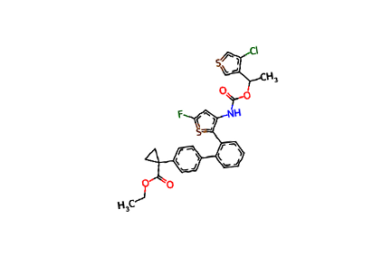 CCOC(=O)C1(c2ccc(-c3ccccc3-c3sc(F)cc3NC(=O)OC(C)c3cscc3Cl)cc2)CC1